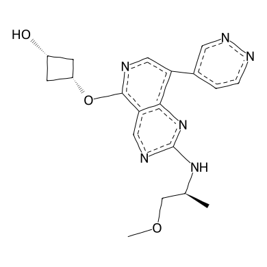 COC[C@H](C)Nc1ncc2c(O[C@H]3C[C@@H](O)C3)ncc(-c3ccnnc3)c2n1